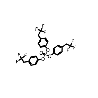 O=P(Oc1ccc(CC(F)(F)F)cc1)(Oc1ccc(CC(F)(F)F)cc1)Oc1ccc(CC(F)(F)F)cc1